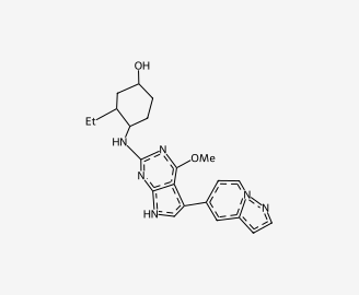 CCC1CC(O)CCC1Nc1nc(OC)c2c(-c3ccn4nccc4c3)c[nH]c2n1